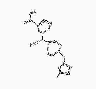 Cc1cnn(Cc2ccc(C(O)c3cncc(C(N)=O)c3)cc2)c1